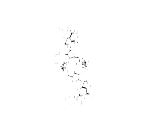 CCOC1C2COP(=O)(O)OC3C(COP(=O)(O)OC1C(n1cnc4c(=O)[nH]c(N)nc41)O2)OC(n1cnc2c(N)ncnc21)C3O